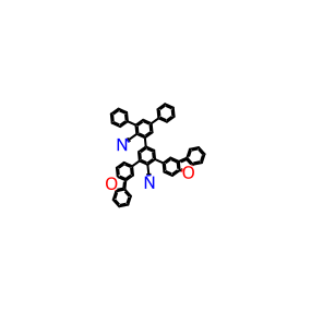 N#Cc1c(-c2ccccc2)cc(-c2ccccc2)cc1-c1cc(-c2ccc3oc4ccccc4c3c2)c(C#N)c(-c2ccc3oc4ccccc4c3c2)c1